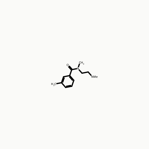 CNCCN(C)C(=O)c1cccc(C)c1